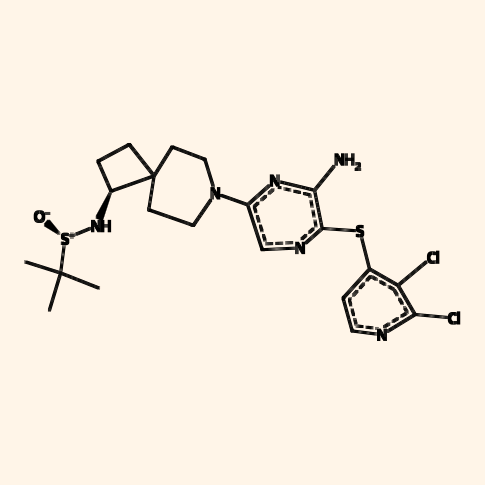 CC(C)(C)[S@@+]([O-])N[C@H]1CCC12CCN(c1cnc(Sc3ccnc(Cl)c3Cl)c(N)n1)CC2